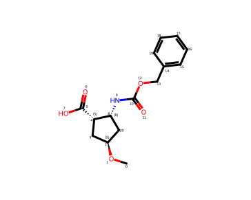 CO[C@H]1C[C@H](C(=O)O)[C@H](NC(=O)OCc2ccccc2)C1